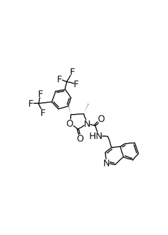 C[C@H]1[C@@H](c2cc(C(F)(F)F)cc(C(F)(F)F)c2)OC(=O)N1C(=O)NCc1cncc2ccccc12